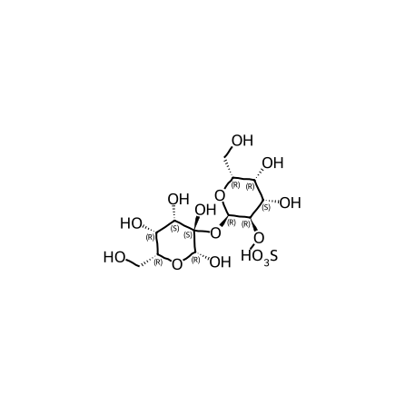 O=S(=O)(O)O[C@H]1[C@@H](O[C@]2(O)[C@H](O)O[C@H](CO)[C@H](O)[C@@H]2O)O[C@H](CO)[C@H](O)[C@@H]1O